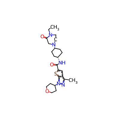 CCN1CCN([C@H]2CC[C@@H](NC(=O)c3cc4c(C)nn(C5CCOCC5)c4s3)CC2)CC1=O